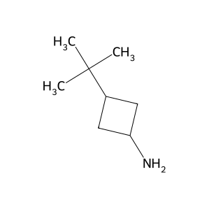 CC(C)(C)C1CC(N)C1